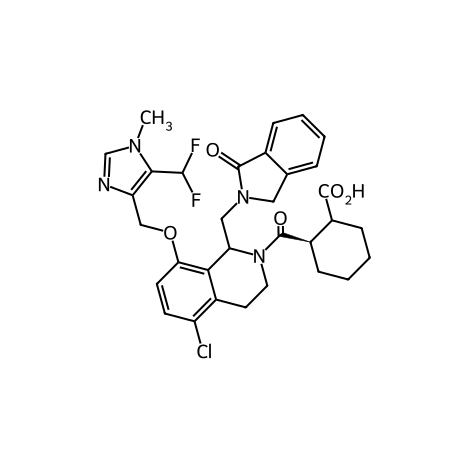 Cn1cnc(COc2ccc(Cl)c3c2C(CN2Cc4ccccc4C2=O)N(C(=O)[C@@H]2CCCCC2C(=O)O)CC3)c1C(F)F